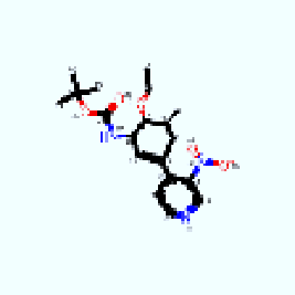 CCO[C@H]1[C@@H](C)CC(c2ccncc2[N+](=O)[O-])=C[C@H]1NC(=O)OC(C)(C)C